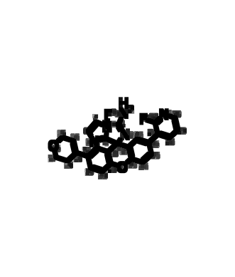 NC1=N[C@]2(C3=NC=C[N+]13F)c1cc(C3=CCOCC3)ccc1Oc1ccc(-c3cccnc3F)cc12